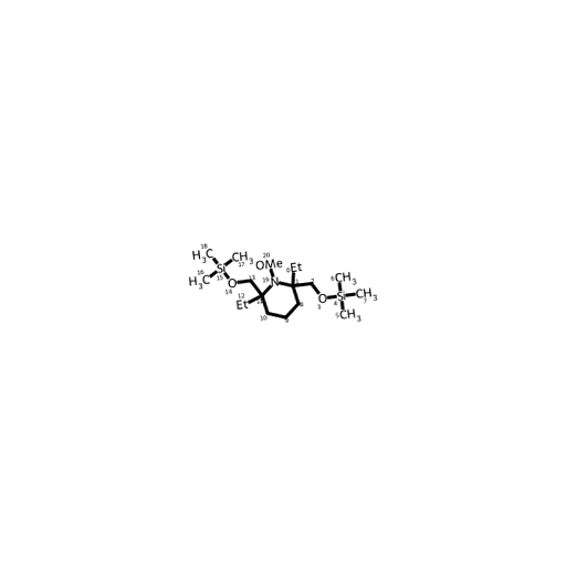 CCC1(CO[Si](C)(C)C)CCCC(CC)(CO[Si](C)(C)C)N1OC